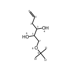 C=CCC(O)C(O)COC(C)(C)C